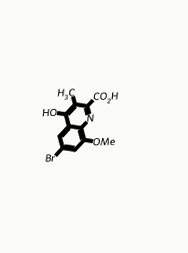 COc1cc(Br)cc2c(O)c(C)c(C(=O)O)nc12